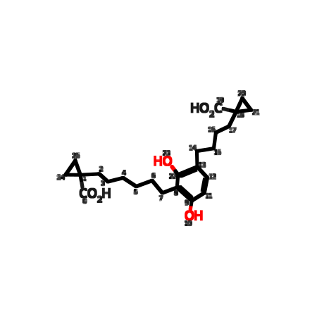 O=C(O)C1(CCCCCCc2c(O)ccc(CCCCC3(C(=O)O)CC3)c2O)CC1